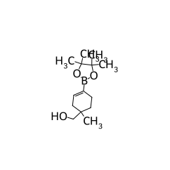 CC1(CO)CC=C(B2OC(C)(C)C(C)(C)O2)CC1